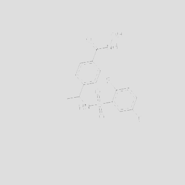 CC(NS(=O)(=O)c1cc(F)ccc1F)c1ccc(C(=O)NO)cc1